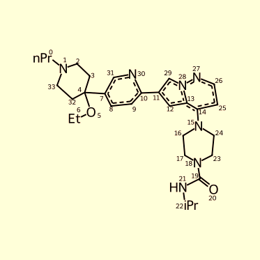 CCCN1CCC(OCC)(c2ccc(-c3cc4c(N5CCN(C(=O)NC(C)C)CC5)ccnn4c3)nc2)CC1